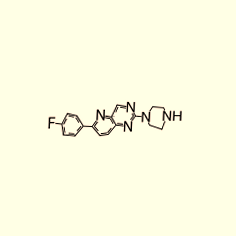 Fc1ccc(-c2ccc3nc(N4CCNCC4)ncc3n2)cc1